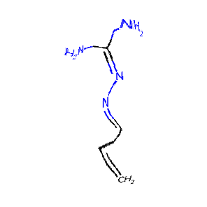 C=CC=NN=C(N)N